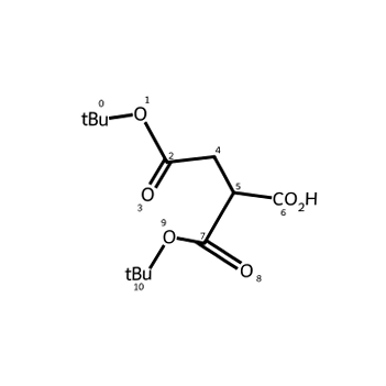 CC(C)(C)OC(=O)CC(C(=O)O)C(=O)OC(C)(C)C